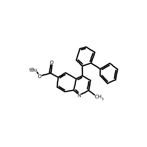 Cc1cc(-c2ccccc2-c2ccccc2)c2cc(C(=O)OC(C)(C)C)ccc2n1